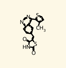 Cc1ccsc1-c1ncnc2ccc(/C=C3/SC(=O)NC3=O)cc12